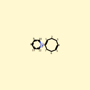 C1=CCCC=CCC1.c1ccncc1